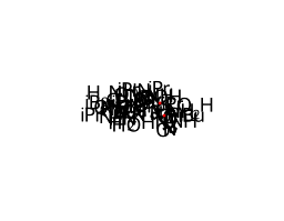 CC[C@H](C)[C@H](NC(=O)[C@@H](N)C(C)C)C(=O)N[C@@H](CCC(N)=O)C(=O)N1CCC[C@H]1C(=O)N[C@@H](CO)C(=O)N1CCC[C@H]1C(=O)N[C@H](C(=O)N[C@H](C(=O)N[C@H](C(=O)N[C@H](C(=O)N[C@@H](CC(C)C)C(=O)N1CCC[C@H]1C(=O)NCC(=O)N1CCC[C@H]1C(=O)N[C@H](C(=O)N[C@@H](CC(C)C)C(=O)O)[C@@H](C)CC)[C@@H](C)O)C(C)C)C(C)C)C(C)C